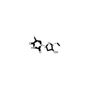 CC[C@H]1O[C@@H](n2cc(I)c(=O)[nH]c2=O)CC1O